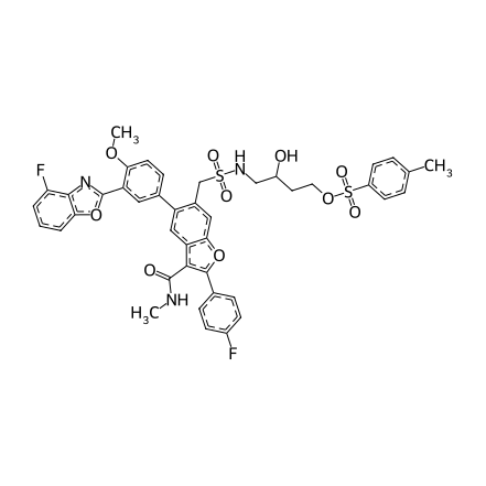 CNC(=O)c1c(-c2ccc(F)cc2)oc2cc(CS(=O)(=O)NCC(O)CCOS(=O)(=O)c3ccc(C)cc3)c(-c3ccc(OC)c(-c4nc5c(F)cccc5o4)c3)cc12